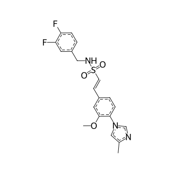 COc1cc(/C=C/S(=O)(=O)NCc2ccc(F)c(F)c2)ccc1-n1cnc(C)c1